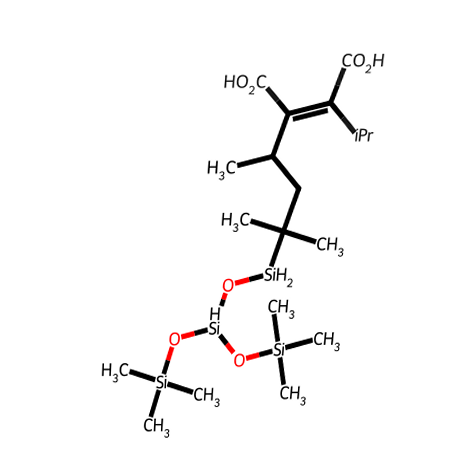 CC(C)C(C(=O)O)=C(C(=O)O)C(C)CC(C)(C)[SiH2]O[SiH](O[Si](C)(C)C)O[Si](C)(C)C